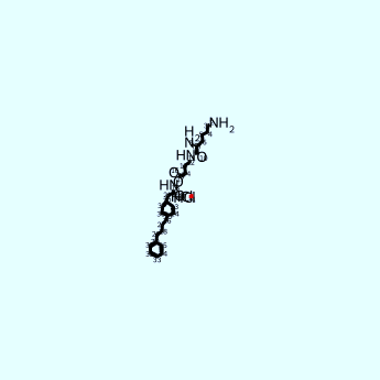 Cl.Cl.NCCCC[C@H](N)C(=O)NCCCC(=O)ONC(=O)Cc1ccc(CCCCc2ccccc2)cc1